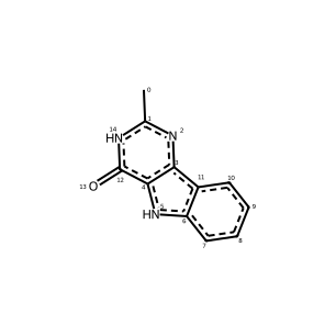 Cc1nc2c([nH]c3ccccc32)c(=O)[nH]1